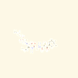 CCOC(=O)CNC(=O)[C@@H](C)NC(=O)CNC(=O)C(S)C(=O)c1ccccc1